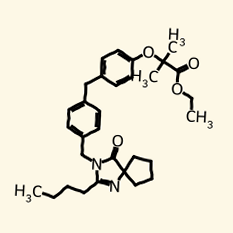 CCCCC1=NC2(CCCC2)C(=O)N1Cc1ccc(Cc2ccc(OC(C)(C)C(=O)OCC)cc2)cc1